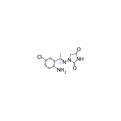 C/C(=N\N1CC(=O)NC1=O)c1cc(Cl)ccc1N